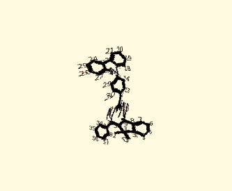 CC1(C)c2ccccc2-c2nc(-c3ccc(-n4c5ccccc5c5ccccc54)cc3)nc(-c3ccccc3)c21